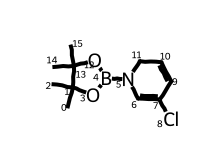 CC1(C)OB(N2C=C(Cl)C=CC2)OC1(C)C